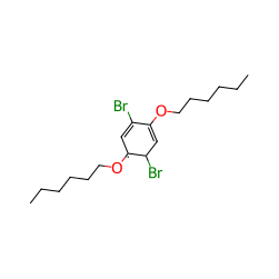 CCCCCCO[C]1C=C(Br)C(OCCCCCC)=CC1Br